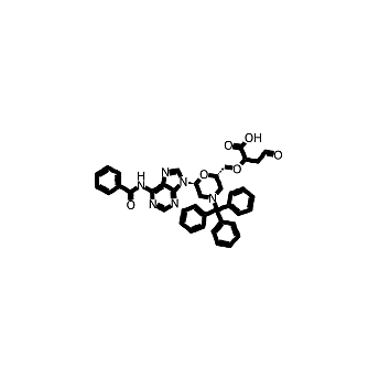 O=CCC(OC[C@@H]1CN(C(c2ccccc2)(c2ccccc2)c2ccccc2)C[C@H](n2cnc3c(NC(=O)c4ccccc4)ncnc32)O1)C(=O)O